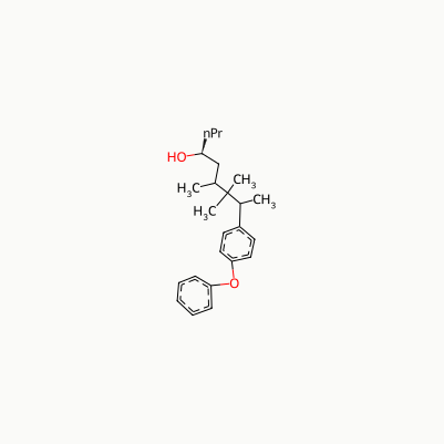 CCC[C@H](O)CC(C)C(C)(C)C(C)c1ccc(Oc2ccccc2)cc1